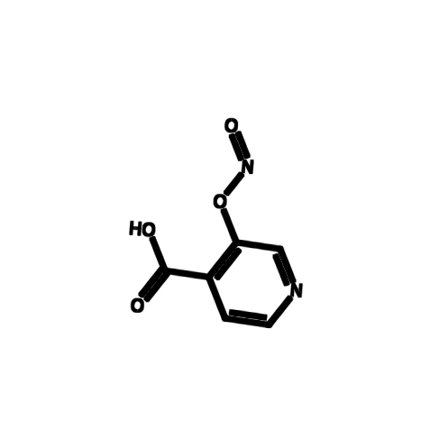 O=NOc1cnccc1C(=O)O